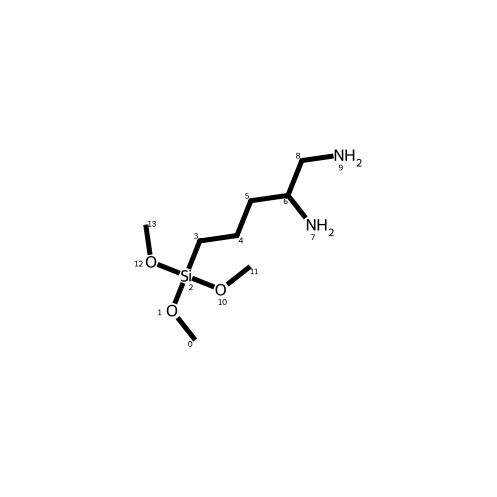 CO[Si](CCCC(N)CN)(OC)OC